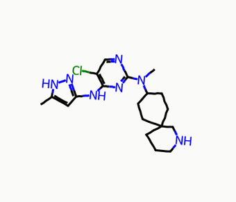 Cc1cc(Nc2nc(N(C)C3CCC4(CCCNC4)CC3)ncc2Cl)n[nH]1